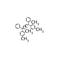 Cc1ccc(C(=C=C=C(c2ccccc2)c2ccc(C)cc2C)c2ccccc2)c(C)c1